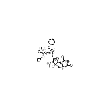 C#C[C@]1(O)C(n2ccc(=O)[nH]c2=O)O[C@H](COP(=O)(N[C@@H](C)C(=O)OC2CCC2)Oc2ccccc2)[C@H]1O